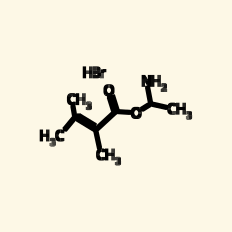 Br.CC(C)=C(C)C(=O)OC(C)N